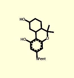 CCCCCc1cc(O)c2c(c1)OC(C)(C)C1CCC(O)CC21